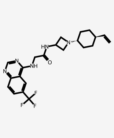 C=C[C@H]1CC[C@H](N2CC(NC(=O)CNc3ncnc4ccc(C(F)(F)F)cc34)C2)CC1